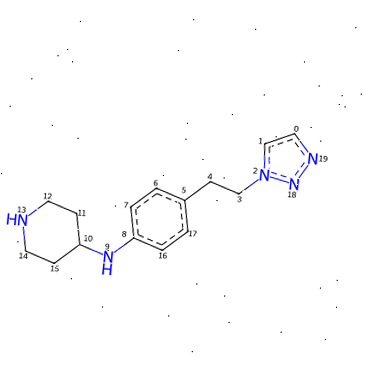 c1cn(CCc2ccc(NC3CCNCC3)cc2)nn1